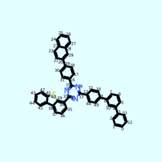 c1ccc(-c2cccc(-c3ccc(-c4nc(-c5ccc(-c6ccc7ccccc7c6)cc5)nc(-c5cccc6c5sc5ccccc56)n4)cc3)c2)cc1